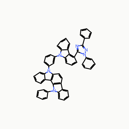 c1ccc(-c2nc(-c3cccc4c3c3ccccc3n4-c3cccc(-n4c5ccccc5c5c4ccc4c6ccccc6n(-c6ccccc6)c45)c3)n(-c3ccccc3)n2)cc1